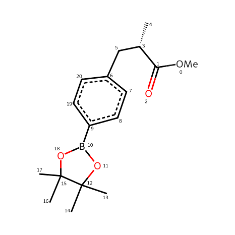 COC(=O)[C@@H](C)Cc1ccc(B2OC(C)(C)C(C)(C)O2)cc1